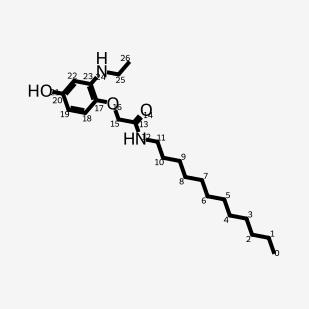 CCCCCCCCCCCCNC(=O)COc1ccc(O)cc1NCC